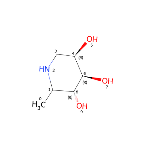 CC1NC[C@@H](O)[C@@H](O)[C@@H]1O